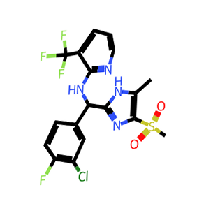 Cc1[nH]c(C(Nc2ncccc2C(F)(F)F)c2ccc(F)c(Cl)c2)nc1S(C)(=O)=O